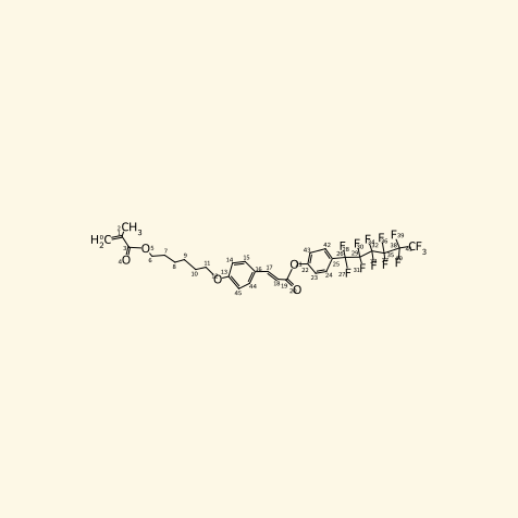 C=C(C)C(=O)OCCCCCCOc1ccc(C=CC(=O)Oc2ccc(C(F)(F)C(F)(F)C(F)(F)C(F)(F)C(F)(F)C(F)(F)F)cc2)cc1